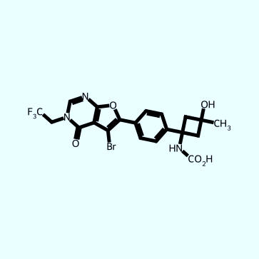 CC1(O)CC(NC(=O)O)(c2ccc(-c3oc4ncn(CC(F)(F)F)c(=O)c4c3Br)cc2)C1